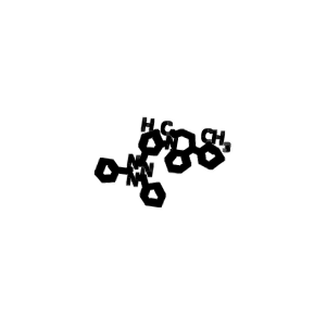 Cc1ccccc1C1CCC(C)N(c2cccc(-c3nc(-c4ccccc4)nc(-c4ccccc4)n3)c2)c2ccccc21